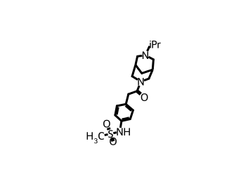 CC(C)N1CC2CC(CN(C(=O)Cc3ccc(NS(C)(=O)=O)cc3)C2)C1